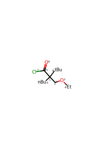 CCCCC(COCC)(C(=O)Cl)C(C)(C)C